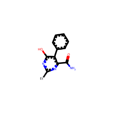 CCc1nc(O)c(-c2ccccc2)c(C(N)=O)n1